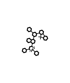 CC1(C)c2ccccc2-c2cccc(-c3cc(-c4ccccc4)cc(-c4ccc(-c5cc(-c6ccccc6)nc(-c6ccccc6)n5)c5ccccc45)c3)c21